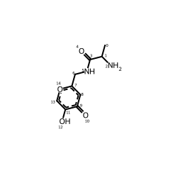 CC(N)C(=O)NCc1cc(=O)c(O)co1